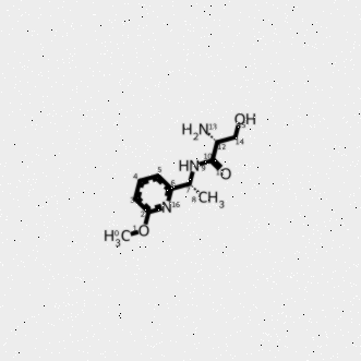 COc1cccc([C@@H](C)NC(=O)[C@H](N)CO)n1